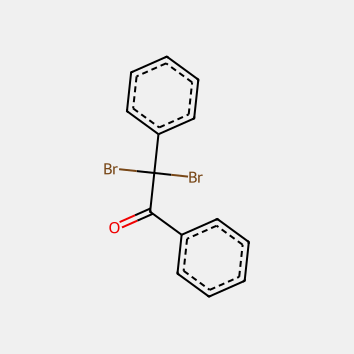 O=C(c1ccccc1)C(Br)(Br)c1ccccc1